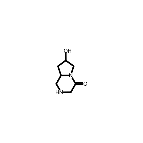 O=C1CNCC2CC(O)CN12